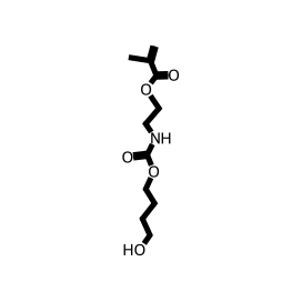 C=C(C)C(=O)OCCNC(=O)OCCCCO